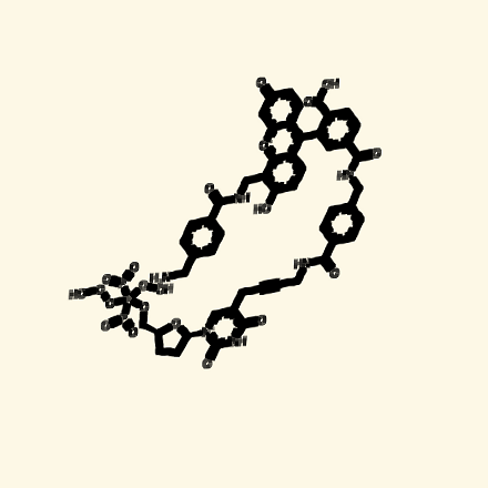 NCc1ccc(C(=O)NCc2c(O)ccc3c(-c4cc(C(=O)NCc5ccc(C(=O)NCC#CCc6cn([C@H]7CC[C@@H](COP(OO)(OOO)(P(=O)=O)P(=O)=O)O7)c(=O)[nH]c6=O)cc5)ccc4C(=O)O)c4ccc(=O)cc-4oc23)cc1